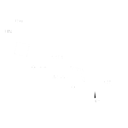 CC(C)[C@H](C)c1cc2ccc(O[C@H]3C[C@@H](NC(C)(C)C)C3)cc2o1